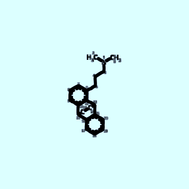 CN(C)CCCc1cccc2c1C1CCC2c2ccccc21